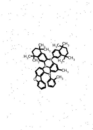 Cc1cc2c3c(c1)N(c1ccccc1C)c1c(ccc4oc5ccccc5c14)B3c1cc3c(cc1N2c1ccc2c(c1)C(C)(C)CCC2(C)C)C(C)(C)CCC3(C)C